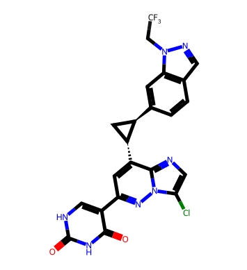 O=c1[nH]cc(-c2cc([C@@H]3C[C@H]3c3ccc4cnn(CC(F)(F)F)c4c3)c3ncc(Cl)n3n2)c(=O)[nH]1